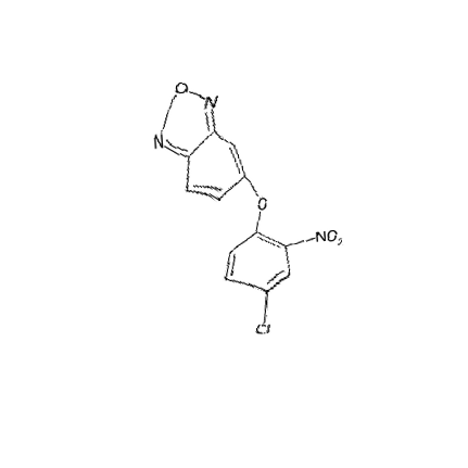 O=[N+]([O-])c1cc(Cl)ccc1Oc1ccc2nonc2c1